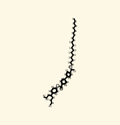 CCCCCCCCCCCCCCCCCCCCOC(C)c1ccc(-c2ccc(C(=O)Oc3ccc(C(CCC)CCCC)cc3)cc2)cc1